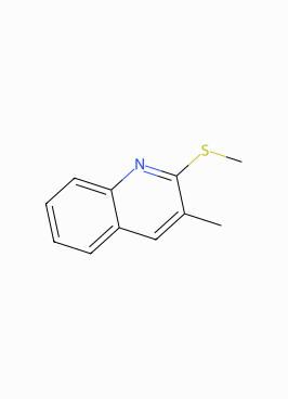 CSc1nc2ccccc2cc1C